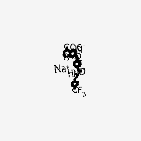 O=C(NCCc1ccc(C(F)(F)F)cc1)c1ccc(Oc2cc3c(cc2Cl)C(C(=O)[O-])CCO3)cc1.[Na+]